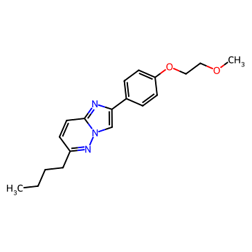 CCCCc1ccc2nc(-c3ccc(OCCOC)cc3)cn2n1